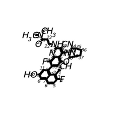 C#Cc1c(F)ccc2cc(O)cc(-c3cc4c5c(c(C#N)c(NCCC(=O)N(C)C)nc5c3F)N3CC5CCC(N5)C3O4)c12